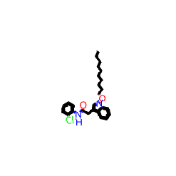 CCCCCCCCCCOn1cc(CC(=O)Nc2ccccc2Cl)c2ccccc21